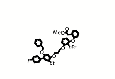 CCCc1c(OCCCOc2cc(OCc3ccccc3)c(-c3ccc(F)cc3)cc2CC)cccc1Oc1ccccc1CC(=O)OC